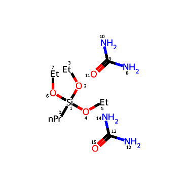 CCC[Si](OCC)(OCC)OCC.NC(N)=O.NC(N)=O